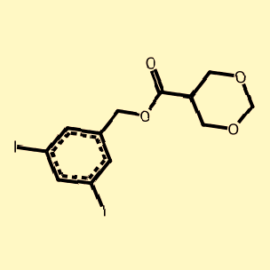 O=C(OCc1cc(I)cc(I)c1)C1COCOC1